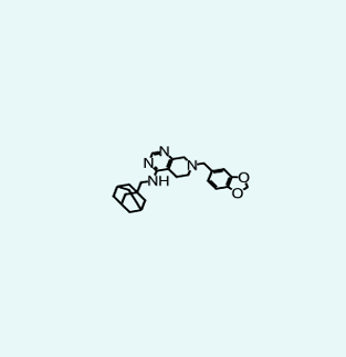 c1nc2c(c(NCC34CC5CC(CC(C5)C3)C4)n1)CCN(Cc1ccc3c(c1)OCO3)C2